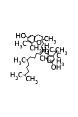 CC(C)(C)c1cc(O)ccc1O.Cc1c(O)cc2c(c1C)OC(C)(CCCC(C)CCCC(C)CCCC(C)C)CC2